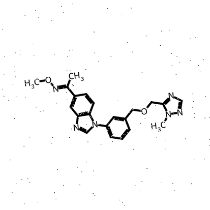 CON=C(C)c1ccc2c(c1)ncn2-c1cccc(COCc2ncnn2C)c1